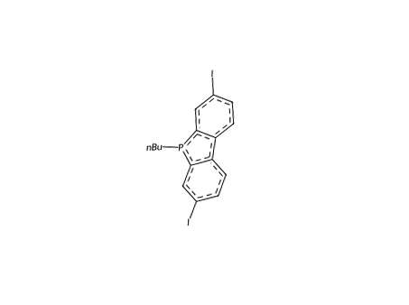 CCCCp1c2cc(I)ccc2c2ccc(I)cc21